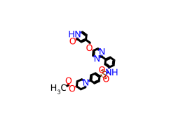 CC(=O)OC1CCN(c2ccc(S(=O)(=O)Nc3cccc(-c4ncc(OCc5cc[nH]c(=O)c5)cn4)c3)cc2)CC1